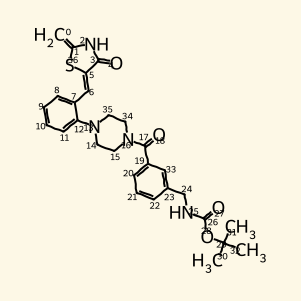 C=c1[nH]c(=O)/c(=C/c2ccccc2N2CCN(C(=O)c3cccc(CNC(=O)OC(C)(C)C)c3)CC2)s1